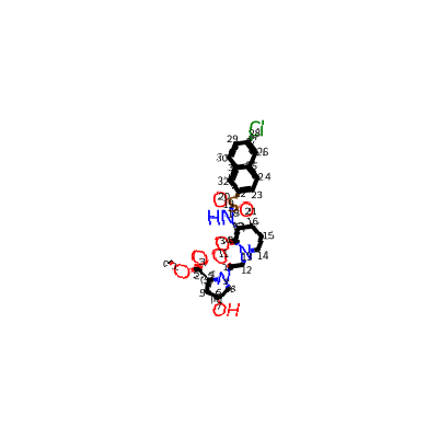 COC(=O)[C@@H]1C[C@@H](O)CN1C(=O)CN1CCC[C@H](NS(=O)(=O)c2ccc3cc(Cl)ccc3c2)C1=O